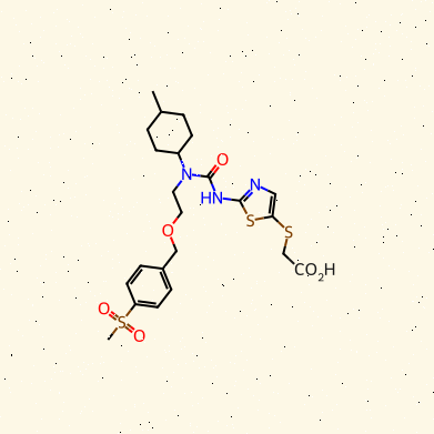 CC1CCC(N(CCOCc2ccc(S(C)(=O)=O)cc2)C(=O)Nc2ncc(SCC(=O)O)s2)CC1